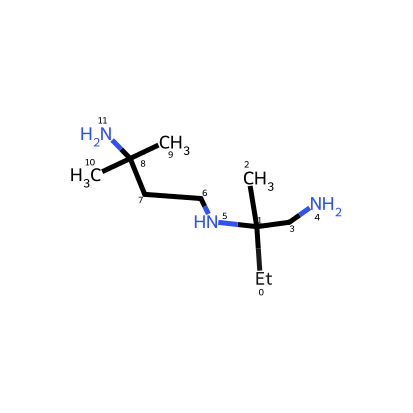 CCC(C)(CN)NCCC(C)(C)N